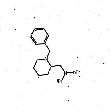 CCCN(CC1CCCCN1Cc1ccccc1)C(C)C